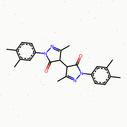 CC1=NN(c2ccc(C)c(C)c2)C(=O)C1C1C(=O)N(c2ccc(C)c(C)c2)N=C1C